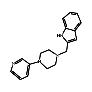 c1cncc(N2CCN(Cc3cc4ccccc4[nH]3)CC2)c1